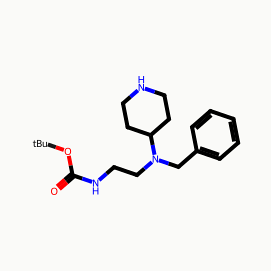 CC(C)(C)OC(=O)NCCN(Cc1ccccc1)C1CCNCC1